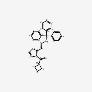 O=C(c1ncsc1C=CSC(c1ccccc1)(c1ccccc1)c1ccccc1)N1CCC1